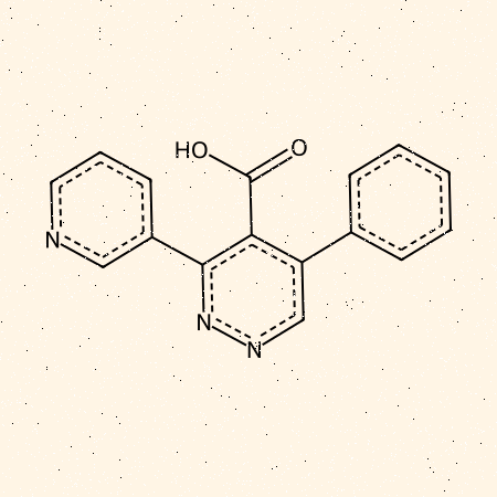 O=C(O)c1c(-c2ccccc2)cnnc1-c1cccnc1